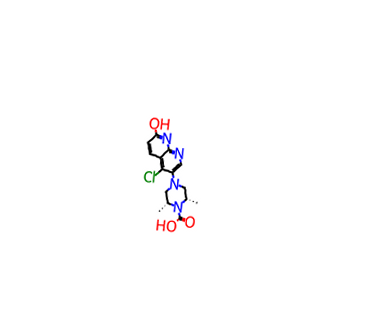 C[C@@H]1CN(c2cnc3nc(O)ccc3c2Cl)C[C@H](C)N1C(=O)O